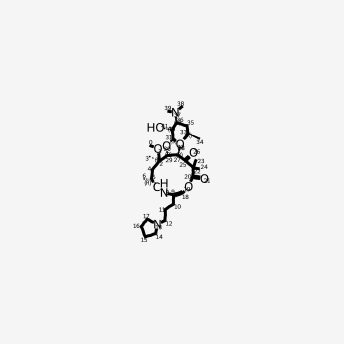 CO[C@]1(C)C[C@@H](C)CNC(CCCN2CCCC2)=COC(=O)C(C)(C)C(=O)[C@H](C)[C@H]1O[C@@H]1O[C@H](C)C[C@H](N(C)C)[C@H]1O